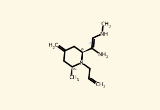 C=CCN1[C@@H](C)CC(=C)C[C@H]1/C(N)=C/NC